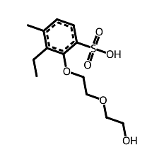 CCc1c(C)ccc(S(=O)(=O)O)c1OCCOCCO